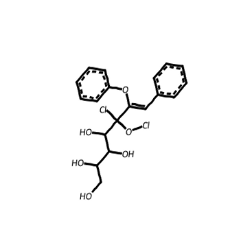 OCC(O)C(O)C(O)C(Cl)(OCl)C(=Cc1ccccc1)Oc1ccccc1